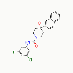 O=C(Nc1cc(F)cc(Cl)c1)N1CCC(O)(c2ccc3ccccc3c2)CC1